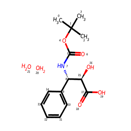 CC(C)(C)OC(=O)N[C@@H](c1ccccc1)[C@@H](O)C(=O)O.O.O